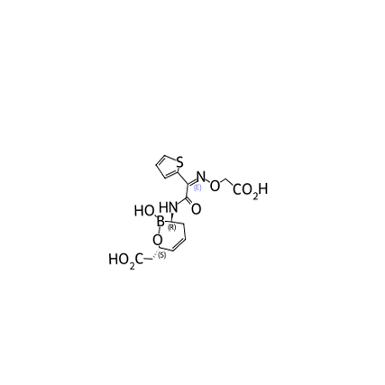 O=C(O)CO/N=C(\C(=O)N[C@H]1CC=C[C@H](CC(=O)O)OB1O)c1cccs1